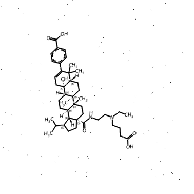 CCN(CCCC(=O)O)CCNC(=O)[C@]12CC[C@@H](C(C)C)[C@@H]1[C@H]1CC[C@@H]3[C@@]4(C)CC=C(c5ccc(C(=O)O)cc5)C(C)(C)[C@@H]4CC[C@@]3(C)[C@]1(C)CC2